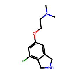 CN(C)CCOc1cc(F)c2c(c1)CNC2